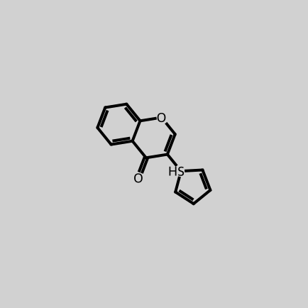 O=c1c([SH]2C=CC=C2)coc2ccccc12